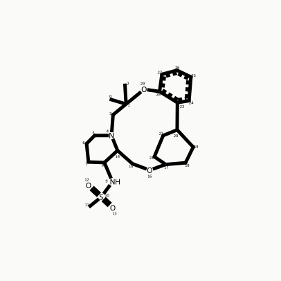 CC1(C)CN2CCCC(NS(C)(=O)=O)C2COC2CCC(CC2)c2ccccc2O1